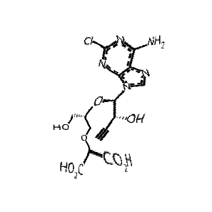 C#C[C@@H](O)[C@@H](O[C@@H](CO)COC(C(=O)O)C(=O)O)n1cnc2c(N)nc(Cl)nc21